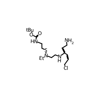 CCN(CCNC(/C=C\CCl)=C/CN)SCCNC(=O)OC(C)(C)C